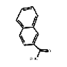 O=CC(=O)c1cc2ccccc2cn1